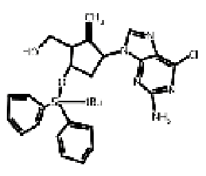 C=C1C(CO)C(O[Si](c2ccccc2)(c2ccccc2)C(C)(C)C)CC1n1cnc2c(Cl)nc(N)nc21